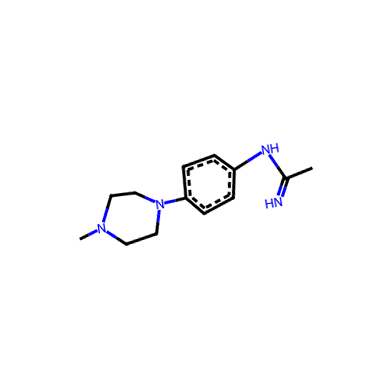 CC(=N)Nc1ccc(N2CCN(C)CC2)cc1